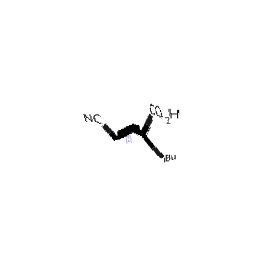 CCC(C)/C(=C/C#N)C(=O)O